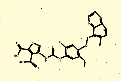 COc1cc(NC(=O)Nc2csc(C(=O)O)c2C(=O)O)c(F)cc1OCc1c(F)ccc2cccnc12